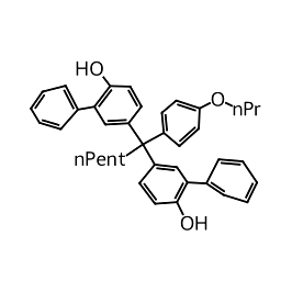 CCCCCC(c1ccc(OCCC)cc1)(c1ccc(O)c(-c2ccccc2)c1)c1ccc(O)c(-c2ccccc2)c1